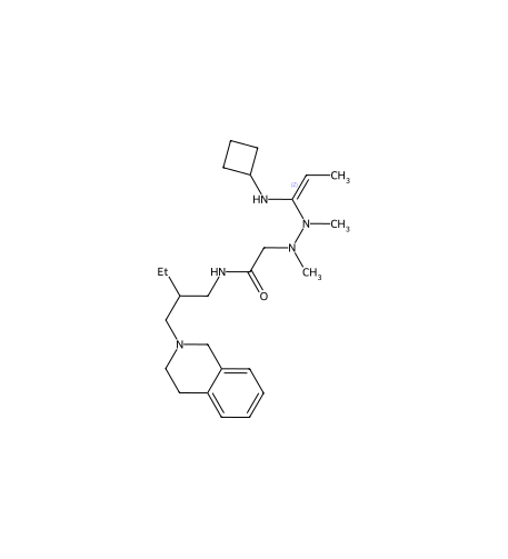 C/C=C(/NC1CCC1)N(C)N(C)CC(=O)NCC(CC)CN1CCc2ccccc2C1